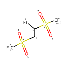 CCC(CS(=O)(=O)C(F)(F)F)S(=O)(=O)C(F)(F)F